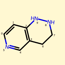 c1cc2c(cn1)CCNN2